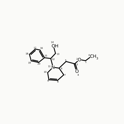 CCOC(=O)CC1CC=CCN1C(CO)c1ccccc1